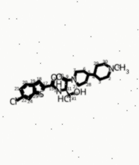 CN1CCC(C2CCN(C(=O)[C@@H](CO)NC(=O)c3cc4ccc(Cl)cc4s3)CC2)CC1.Cl